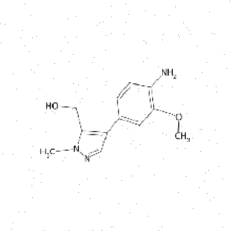 COc1cc(-c2cnn(C)c2CO)ccc1N